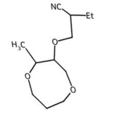 CCC(C#N)COC1COCCCOC1C